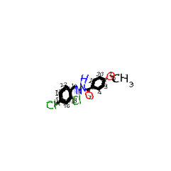 COc1ccc(C(=O)N/N=C/c2ccc(Cl)cc2Cl)cc1